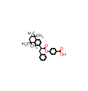 CC1(C)CCC(C)(C)c2cc(C(Cc3ccccc3)C(=O)Oc3ccc(C(=O)O)cc3)ccc21